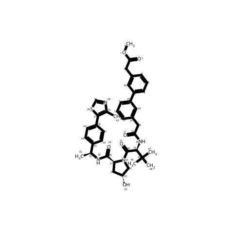 COC(=O)Cc1cccc(-c2cccc(CC(=O)N[C@H](C(=O)N3C[C@H](O)C[C@H]3C(=O)N[C@@H](C)c3ccc(-c4scnc4C)cc3)C(C)(C)C)c2)c1